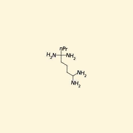 CCCC(N)(N)CCCC(N)N